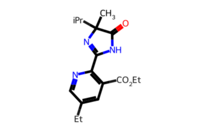 CCOC(=O)c1cc(CC)cnc1C1=NC(C)(C(C)C)C(=O)N1